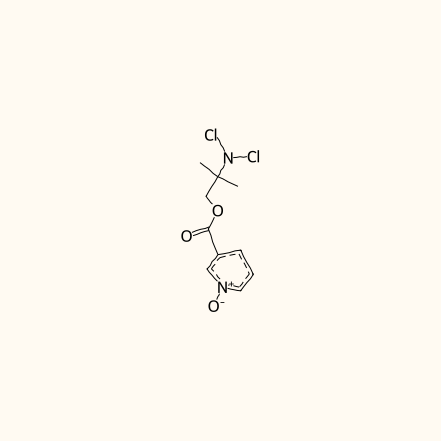 CC(C)(COC(=O)c1ccc[n+]([O-])c1)N(Cl)Cl